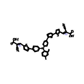 Cc1ccc(N(c2ccc(-c3ccc(/C=C(\C#N)C(=O)O)s3)cc2)c2ccc(-c3ccc(-c4ccc(/C=C(\C#N)C(=O)O)s4)s3)cc2)c(C)c1